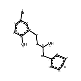 Oc1ccc(Br)cc1CCC(O)Cc1ccccc1